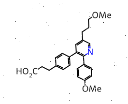 COCCCc1cnc(-c2ccc(OC)cc2)c(-c2ccc(CCC(=O)O)cc2)c1